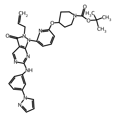 C=CCn1c(=O)c2cnc(Nc3cccc(-n4cccn4)c3)nc2n1-c1cccc(OC2CCN(C(=O)OC(C)(C)C)CC2)n1